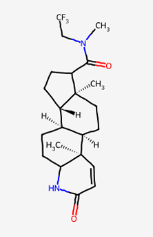 CN(CC(F)(F)F)C(=O)C1CC[C@H]2[C@@H]3CCC4NC(=O)C=C[C@]4(C)[C@@H]3CC[C@]12C